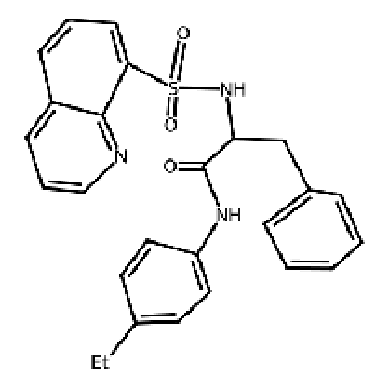 CCc1ccc(NC(=O)C(Cc2ccccc2)NS(=O)(=O)c2cccc3cccnc23)cc1